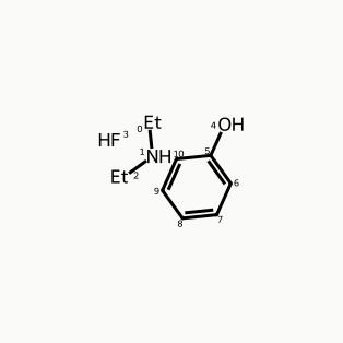 CCNCC.F.Oc1ccccc1